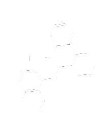 COc1ccccc1C1=C(COc2cccc(O)c2C=O)CCOC1